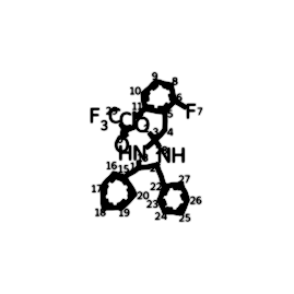 O=C(OC1(Cc2c(F)cccc2Cl)NC(c2ccccc2)C(c2ccccc2)N1)C(F)(F)F